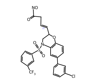 O=NC(=O)C/C=C/C1CN(S(=O)(=O)c2cccc(C(F)(F)F)c2)c2cc(-c3cccc(Cl)c3)ccc2O1